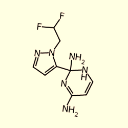 NC1=NC(N)(c2ccnn2CC(F)F)NC=C1